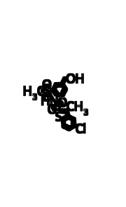 Cc1c(S(=O)(=O)Nc2ccc(CO)cc2S(C)(=O)=O)sc2ccc(Cl)cc12